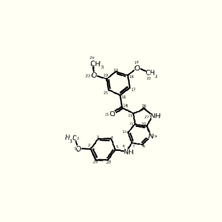 COc1ccc(Nc2cnc3c(c2)C(C(=O)c2cc(OC)cc(OC)c2)CN3)cc1